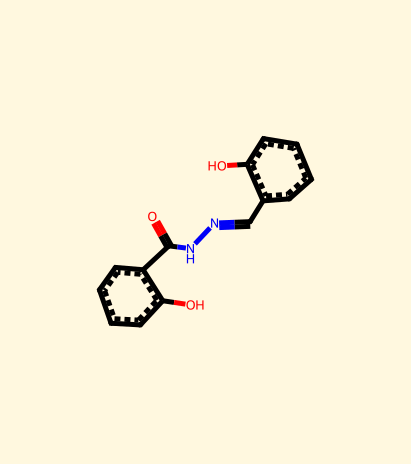 O=C(NN=Cc1ccccc1O)c1ccccc1O